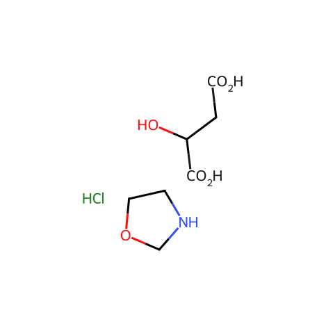 C1COCN1.Cl.O=C(O)CC(O)C(=O)O